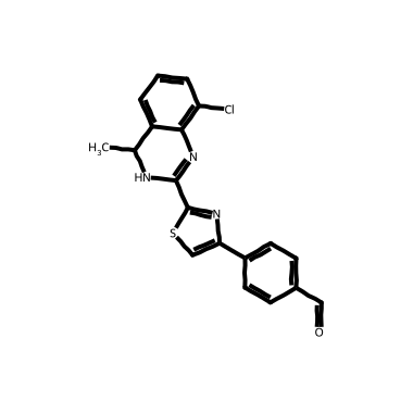 CC1NC(c2nc(-c3ccc(C=O)cc3)cs2)=Nc2c(Cl)cccc21